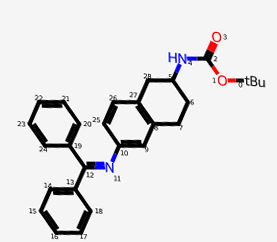 CC(C)(C)OC(=O)NC1CCc2cc(N=C(c3ccccc3)c3ccccc3)ccc2C1